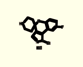 CCn1ncc2c1-c1cc(F)ccc1OC21CCNCC1.Cl